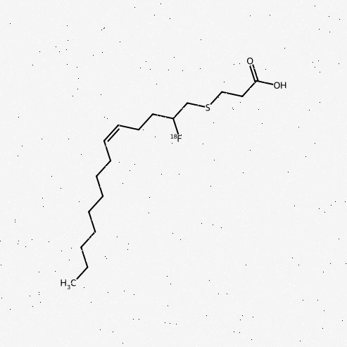 CCCCCCCC/C=C\CCC([18F])CSCCC(=O)O